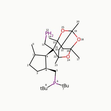 CC1CC[C@H](CP(C(C)(C)C)C(C)(C)C)[C@@H]1C1(CP)C2(C)CC3(C)OC(C)(CC1(C)O3)O2